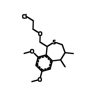 COc1cc(OC)c2c(c1)C(C)C(C)CSC2COCCCl